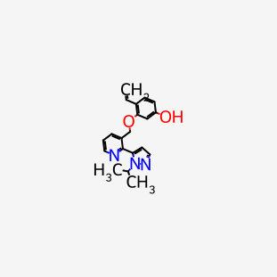 C=Cc1ccc(O)cc1OCc1cccnc1-c1ccnn1C(C)C